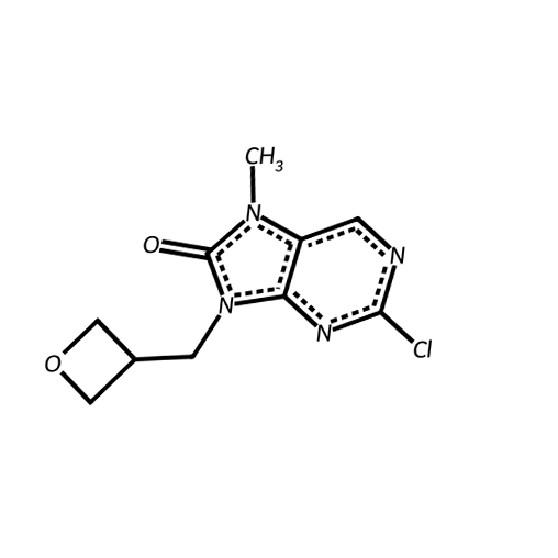 Cn1c(=O)n(CC2COC2)c2nc(Cl)ncc21